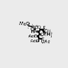 COCCOC(=O)NC1C(OC(C)=O)C(F)C(C)(C)OC1[C@H](OC(C)=O)[C@@H](COC(C)=O)OC(C)=O